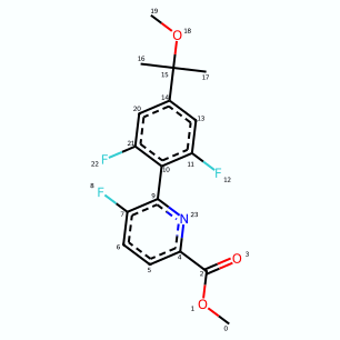 COC(=O)c1ccc(F)c(-c2c(F)cc(C(C)(C)OC)cc2F)n1